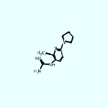 Cc1nc(N2CCCC2)ccc1NC(=N)N